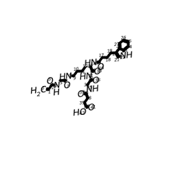 C=CC(=O)NCC(=O)NCCCC[C@H](NC(=O)CCCc1c[nH]c2ccccc12)C(=O)NC(=O)CNC(=O)CCC(=O)O